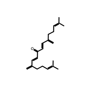 C=C(C=CC(=O)C=CC(=C)CCC=C(C)C)CCC=C(C)C